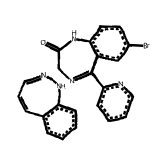 C1=Cc2ccccc2NN=C1.O=C1CN=C(c2ccccn2)c2cc(Br)ccc2N1